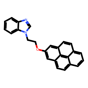 c1cc2ccc3cc(OCCn4cnc5ccccc54)cc4ccc(c1)c2c34